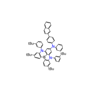 CC(C)(C)c1cccc(N2c3cc(C(C)(C)C)ccc3B3c4ccc(C(C)(C)C)cc4N(c4cccc(C(C)(C)C)c4)c4cc(N(c5ccccc5)c5ccc(-c6ccc7ccccc7c6)cc5)cc2c43)c1